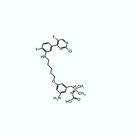 C[SH](O)(Cc1cc(N)cc(OCCCCCNc2cc(-c3nc(Cl)ncc3F)ccc2F)c1)=NC(=O)O